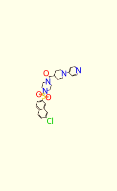 O=C(C1CCN(c2ccncc2)CC1)N1CCN(S(=O)(=O)c2ccc3ccc(Cl)cc3c2)CC1